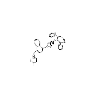 CC1CCN(Cc2ccc(C3CN(c4c(Cl)cccc4Cl)C3)c3ccccc23)CC1